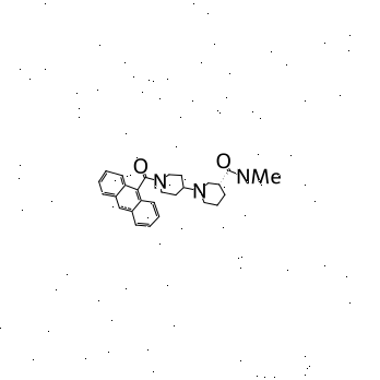 CNC(=O)[C@@H]1CCCN(C2CCN(C(=O)c3c4ccccc4cc4ccccc34)CC2)C1